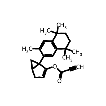 C#CC(=O)OC1=CCC2CC12c1cc2c(cc1C)C(C)(C)CCC2(C)C